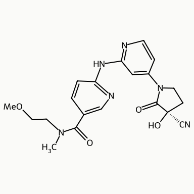 COCCN(C)C(=O)c1ccc(Nc2cc(N3CC[C@](O)(C#N)C3=O)ccn2)nc1